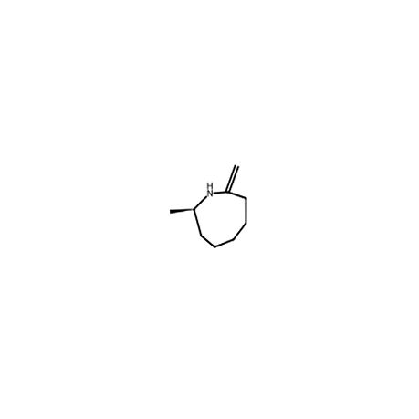 C=C1CCCCC[C@@H](C)N1